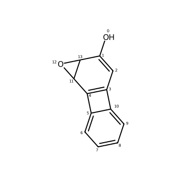 OC1=CC2=C(c3ccccc32)C2OC12